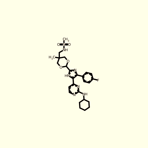 CC1(CNS(C)(=O)=O)COC(c2nc(-c3ccc(F)cc3)c(-c3ccnc(NC4CCCCC4)n3)[nH]2)OC1